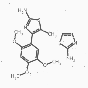 COc1cc(OC)c(-c2nc(N)sc2C)cc1OC.Nc1nccs1